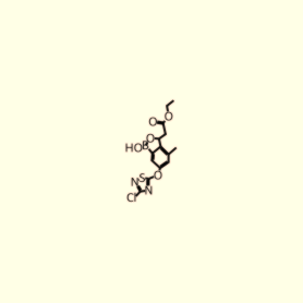 CCOC(=O)CC1OB(O)c2cc(Oc3nc(Cl)ns3)cc(C)c21